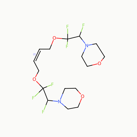 FC(N1CCOCC1)C(F)(F)OC/C=C\COC(F)(F)C(F)N1CCOCC1